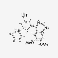 COc1cc2ncnc(N3CC(O)CC(c4ccccc4)C3)c2cc1OC